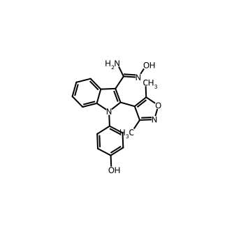 Cc1noc(C)c1-c1c(/C(N)=N/O)c2ccccc2n1-c1ccc(O)cc1